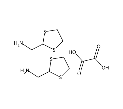 NCC1SCCS1.NCC1SCCS1.O=C(O)C(=O)O